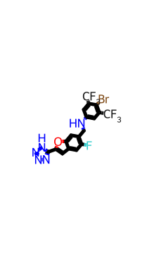 Fc1cc2cc(-c3nnn[nH]3)oc2cc1CNc1cc(C(F)(F)F)c(Br)c(C(F)(F)F)c1